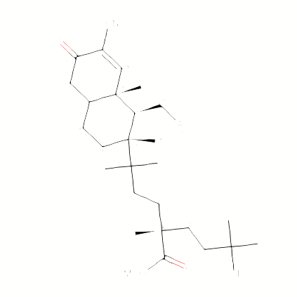 CCCC(C)(C)CC[C@@](C)(CCC(C)(C)[C@]1(C)CC[C@H]2[C@H](C)C(=O)C(C#N)=C[C@]2(C)[C@H]1CC(C)=O)C(=O)OC